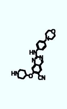 N#Cc1cc2cnc(Nc3ccc(N4CCOCC4)cc3)nc2cc1OC1CCNCC1